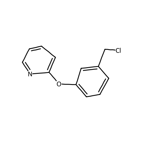 ClCc1cccc(Oc2ccccn2)c1